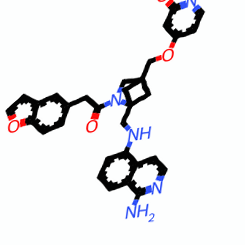 Cn1ccc(OCC23CN(C(=O)Cc4ccc5occc5c4)C(CNc4cccc5c(N)nccc45)(C2)C3)cc1=O